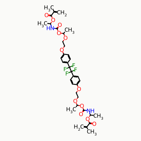 C=C(C)C(=O)OC(C)NC(=O)OC(C)OCCOc1ccc(C(F)(F)C(F)(F)c2ccc(OCCOC(C)OC(=O)NC(C)OC(=O)C(=C)C)cc2)cc1